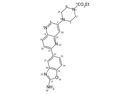 CCOC(=O)N1CCN(c2cnc3ccc(-c4ccc5oc(N)nc5c4)nc3c2)CC1